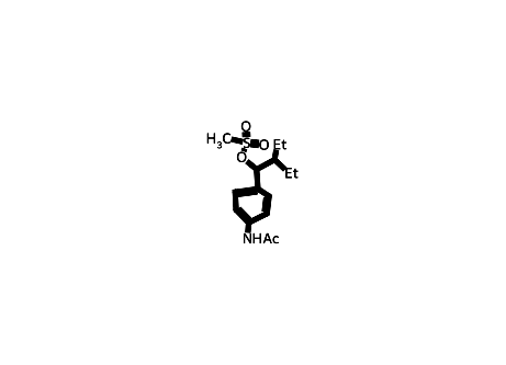 CCC(CC)C(OS(C)(=O)=O)c1ccc(NC(C)=O)cc1